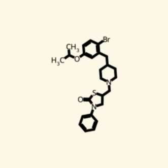 CC(C)Oc1ccc(Br)c(CC2CCN(CC3CN(c4ccccc4)C(=O)S3)CC2)c1